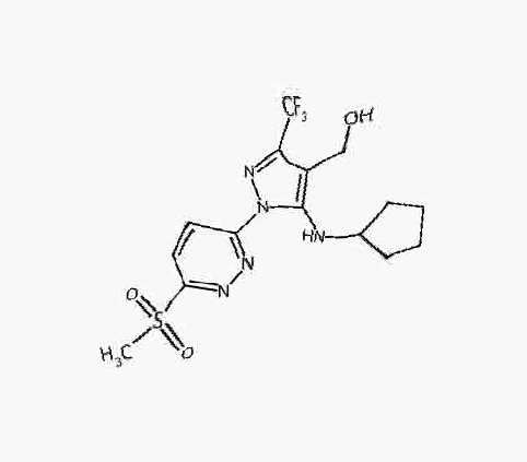 CS(=O)(=O)c1ccc(-n2nc(C(F)(F)F)c(CO)c2NC2CCCC2)nn1